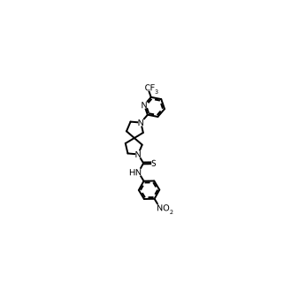 O=[N+]([O-])c1ccc(NC(=S)N2CCC3(CCN(c4cccc(C(F)(F)F)n4)C3)C2)cc1